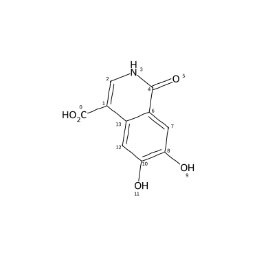 O=C(O)c1c[nH]c(=O)c2cc(O)c(O)cc12